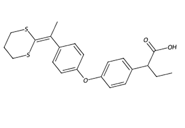 CCC(C(=O)O)c1ccc(Oc2ccc(C(C)=C3SCCCS3)cc2)cc1